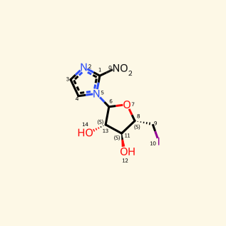 O=[N+]([O-])c1nccn1C1O[C@H](CI)[C@@H](O)[C@@H]1O